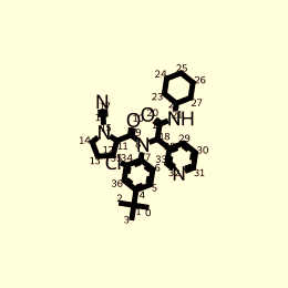 CC(C)(C)c1ccc(N(C(=O)C2CCCN2C#N)C(C(=O)NC2CCCCC2)c2cccnc2)c(Cl)c1